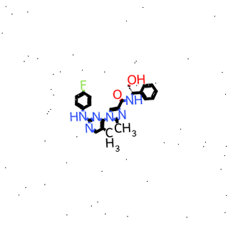 Cc1cnc(Nc2ccc(F)cc2)nc1-n1cc(C(=O)N[C@H](CO)c2ccccc2)nc1C